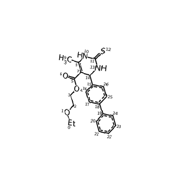 CCOCCOC(=O)C1=C(C)NC(=S)NC1c1ccc(-c2ccccc2)cc1